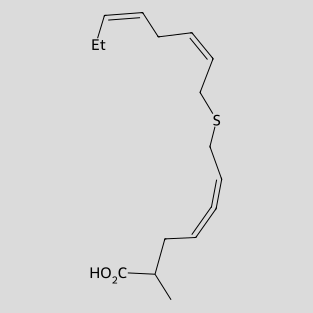 CC/C=C\C/C=C\CSCC=C=CCC(C)C(=O)O